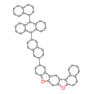 c1ccc2c(-c3c4ccccc4c(-c4ccc5cc(-c6ccc7oc8cc9oc%10ccc%11ccccc%11c%10c9cc8c7c6)ccc5c4)c4ccccc34)cccc2c1